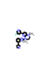 C=C(Nc1cccc(C2=CN=CC2)c1)N1CCCN(C)c2ccc(-c3cncc(F)c3)nc21